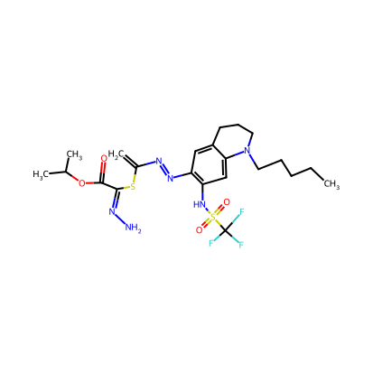 C=C(N=Nc1cc2c(cc1NS(=O)(=O)C(F)(F)F)N(CCCCC)CCC2)S/C(=N\N)C(=O)OC(C)C